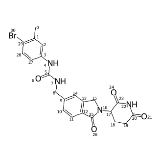 Cc1cc(NC(=O)NCc2ccc3c(c2)CN(C2CCC(=O)NC2=O)C3=O)ccc1Br